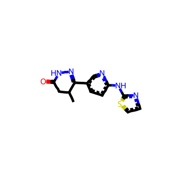 CC1CC(=O)NN=C1c1ccc(Nc2nccs2)nc1